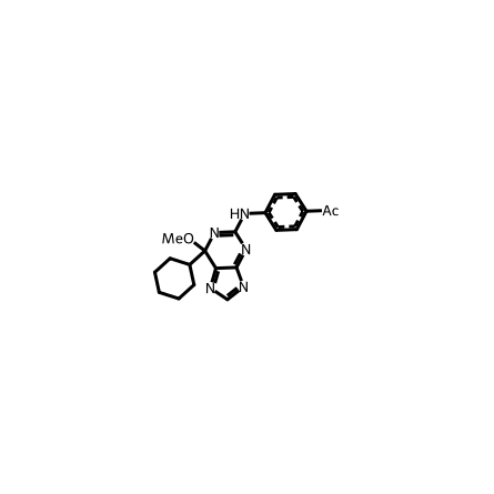 COC1(C2CCCCC2)N=C(Nc2ccc(C(C)=O)cc2)N=C2N=CN=C21